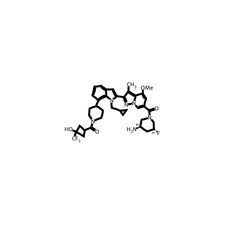 COc1cc(C(=O)N2C[C@H](N)C[C@@H](F)C2)cn2nc(-c3cc4cccc(C5CCN(C(=O)C6CC(O)(C(F)(F)F)C6)CC5)c4n3CC3CC3)c(C)c12